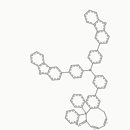 C=C1/C=C\C=C/Cc2cc(-c3cccc(N(c4ccc(-c5ccc6oc7ccccc7c6c5)cc4)c4ccc(-c5ccc6oc7ccccc7c6c5)cc4)c3)ccc2C1(c1ccccc1)c1ccccc1